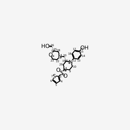 O=S(=O)(c1cccs1)N1CCN(c2ccc(O)cc2)[C@@H](CN2CCO[C@H](CO)C2)C1